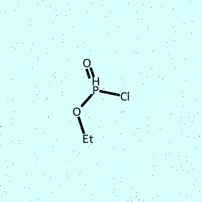 CCO[PH](=O)Cl